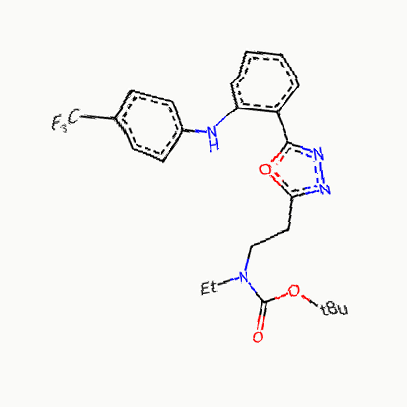 CCN(CCc1nnc(-c2ccccc2Nc2ccc(C(F)(F)F)cc2)o1)C(=O)OC(C)(C)C